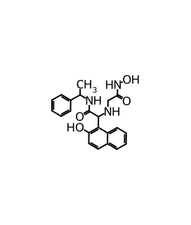 CC(NC(=O)C(NCC(=O)NO)c1c(O)ccc2ccccc12)c1ccccc1